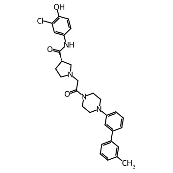 Cc1cccc(-c2cccc(N3CCN(C(=O)CN4CC[C@@H](C(=O)Nc5ccc(O)c(Cl)c5)C4)CC3)c2)c1